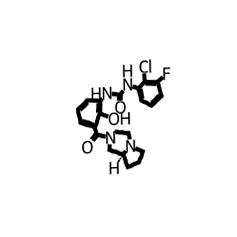 O=C(Nc1cccc(C(=O)N2CCN3CCC[C@H]3C2)c1O)Nc1cccc(F)c1Cl